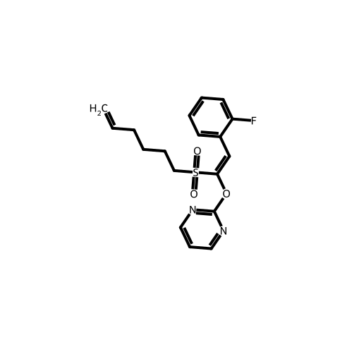 C=CCCCCS(=O)(=O)C(=Cc1ccccc1F)Oc1ncccn1